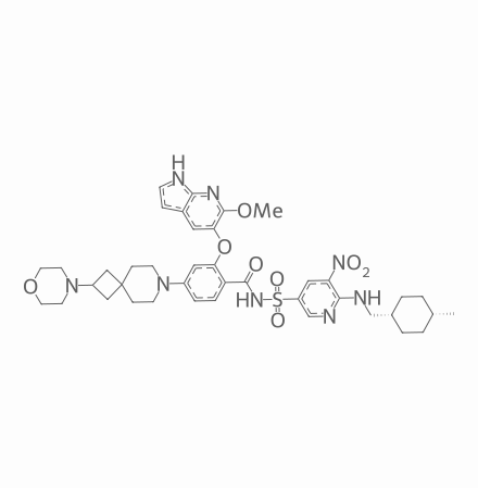 COc1nc2[nH]ccc2cc1Oc1cc(N2CCC3(CC2)CC(N2CCOCC2)C3)ccc1C(=O)NS(=O)(=O)c1cnc(NC[C@H]2CC[C@@H](C)CC2)c([N+](=O)[O-])c1